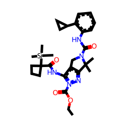 CCOC(=O)n1nc2c(c1NC(=O)C1([Si](C)(C)C)CCC1)CN(C(=O)Nc1ccccc1C1CC1)C2(C)C